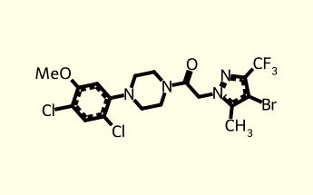 COc1cc(N2CCN(C(=O)Cn3nc(C(F)(F)F)c(Br)c3C)CC2)c(Cl)cc1Cl